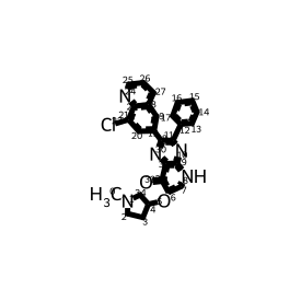 CN1CCC(Oc2c[nH]c3nc(-c4ccccc4)c(-c4cc(Cl)c5ncccc5c4)nc3c2=O)C1